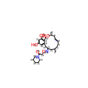 CC1CC/C=C/CC(C)OC(=O)c2c(O)cc(O)cc2C/C(=N\OCC(=O)N2CCCCC2)C1